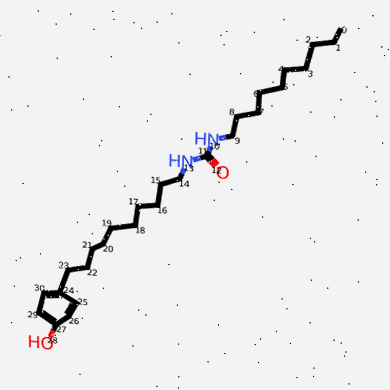 CCCCCCCCCCNC(=O)NCCCCCCCCCCc1ccc(O)cc1